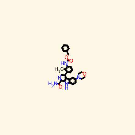 Cc1c(NC(=O)OCc2ccccc2)cccc1-c1cnc(C(N)=O)c2[nH]c3ccc(N4CCOCC4)cc3c12